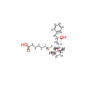 O=C(O)CCCCCSC[C@@H]1[C@H](/C=C/C(O)Cc2ccccc2)[C@@H]2CC[C@H]1O2